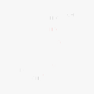 CC(C)CC(O)COc1cccc(OCC(O)CC(C)C)c1